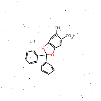 Cc1cc2c(cc1C(=O)O)OC(c1ccccc1)(c1ccccc1)O2.[LiH]